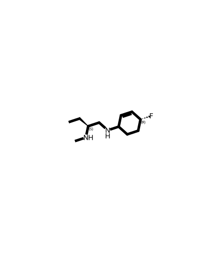 CC[C@@H](CNC1C=C[C@H](F)CC1)NC